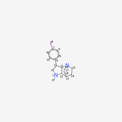 CN1CC(c2ccc(I)cc2)C2C1C1CCN2CC1